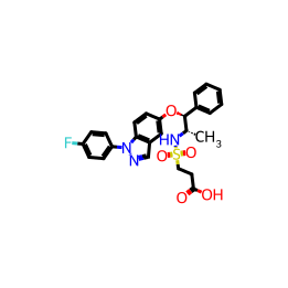 C[C@H](NS(=O)(=O)CCC(=O)O)[C@@H](Oc1ccc2c(cnn2-c2ccc(F)cc2)c1)c1ccccc1